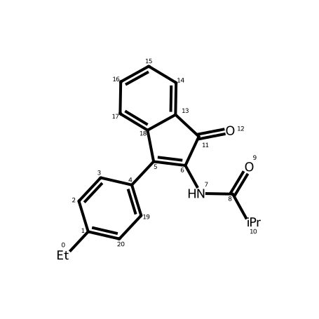 CCc1ccc(C2=C(NC(=O)C(C)C)C(=O)c3ccccc32)cc1